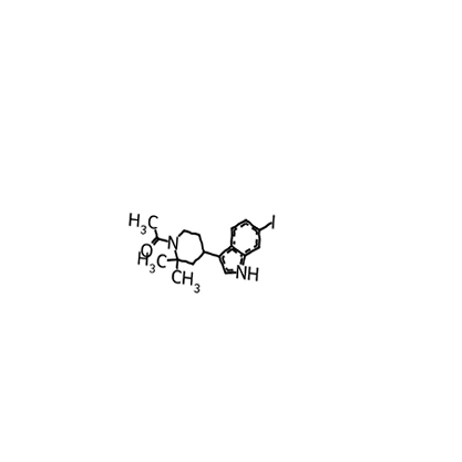 CC(=O)N1CCC(c2c[nH]c3cc(I)ccc23)CC1(C)C